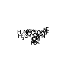 Cc1cc2cc(C(=O)N(Cc3ccc(C(F)(F)F)cn3)[C@@H]3CCC[C@H]4OCC[C@H]34)ccc2nc1N